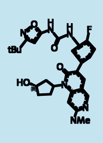 CNc1cc2c(cn1)cc(-c1ccc(F)c(NC(=O)Nc3cc(C(C)(C)C)no3)c1)c(=O)n2C1CC[C@@H](O)C1